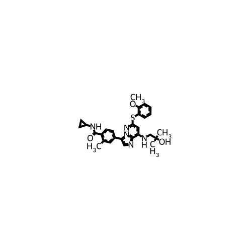 COc1ccccc1Sc1cc(NCC(C)(C)O)c2ncc(-c3ccc(C(=O)NC4CC4)c(C)c3)n2n1